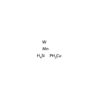 P.[Cu].[Mn].[SiH4].[W]